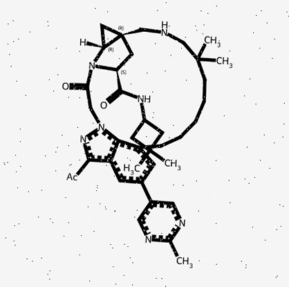 CC(=O)c1nn2c3c(cc(-c4cnc(C)nc4)cc13)CCCCCC(C)(C)CNC[C@@]13C[C@@H](C(=O)NC4CC(C)(C)C4)N(C(=O)C2)[C@@H]1C3